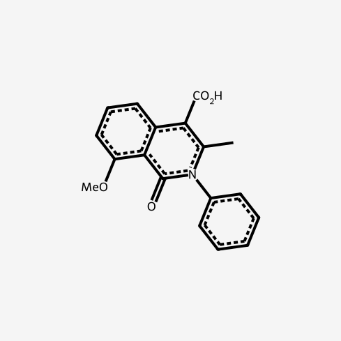 COc1cccc2c(C(=O)O)c(C)n(-c3ccccc3)c(=O)c12